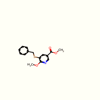 COC(=O)c1cnc(OC)c(SCc2ccccc2)c1